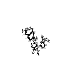 C=CCn1c(=O)c2cnc(Nc3ccc4c(c3)CNCC4)nc2n1-c1cccc(N(C)C(C)=O)n1